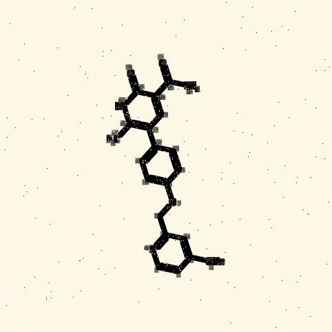 COc1ccnc(COc2ccc(-c3cc(C(N)=O)c(=O)[nH]c3C(F)(F)F)cc2)c1